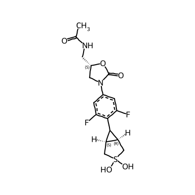 CC(=O)NC[C@H]1CN(c2cc(F)c(C3[C@H]4CS(O)(O)C[C@@H]34)c(F)c2)C(=O)O1